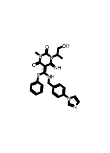 CC(CO)N1C(=N)/C(=C(\NCc2ccc(-n3ccnc3)cc2)Sc2ccccc2)C(=O)N(C)C1=O